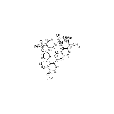 CCOc1cc(C(Oc2ccc3c(N)nccc3c2)C(=O)N2CCCC2c2cc(NC(=O)OC)ccc2S(=O)(=O)C(C)C)ccc1OC(C)C